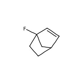 FC12C=CC(CC1)C2